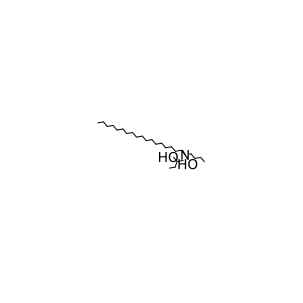 CCCCCCCCCCCCCCCCCCN(CC(O)CC)CC(O)CC